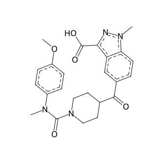 COc1ccc(N(C)C(=O)N2CCC(C(=O)c3ccc4c(c3)c(C(=O)O)nn4C)CC2)cc1